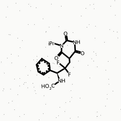 CC(C)N1C(=O)NC(=O)C(CC(F)(F)[C@@H](NC(=O)O)c2ccccc2)C1=O